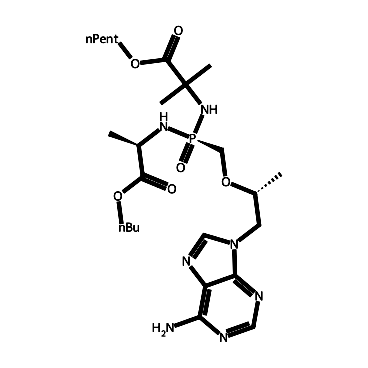 CCCCCOC(=O)C(C)(C)N[P@@](=O)(CO[C@H](C)Cn1cnc2c(N)ncnc21)N[C@H](C)C(=O)OCCCC